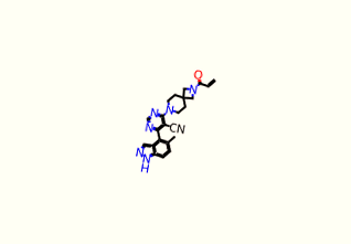 C=CC(=O)N1CC2(CCN(c3ncnc(-c4c(C)ccc5[nH]ncc45)c3C#N)CC2)C1